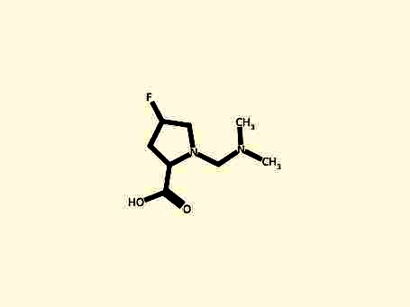 CN(C)CN1CC(F)CC1C(=O)O